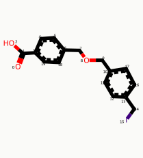 O=C(O)c1ccc(COCc2ccc(CI)cc2)cc1